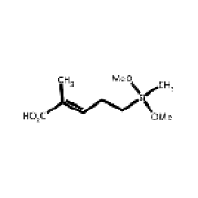 CO[Si](C)([CH]CC=C(C)C(=O)O)OC